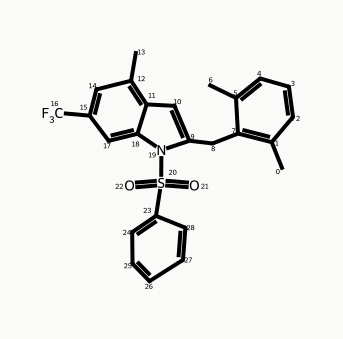 Cc1[c]ccc(C)c1Cc1cc2c(C)cc(C(F)(F)F)cc2n1S(=O)(=O)c1ccccc1